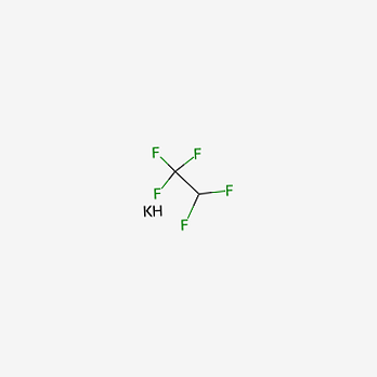 FC(F)C(F)(F)F.[KH]